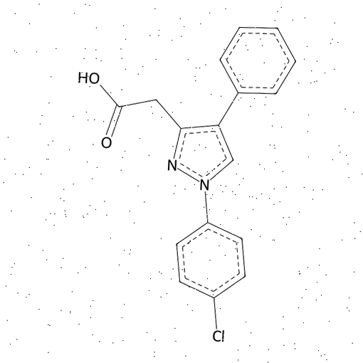 O=C(O)Cc1nn(-c2ccc(Cl)cc2)cc1-c1ccccc1